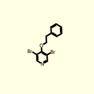 Brc1cncc(Br)c1OCCc1ccccc1